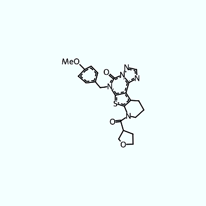 COc1ccc(Cn2c(=O)n3ncnc3c3c4c(sc32)N(C(=O)C2CCOC2)CCC4)cc1